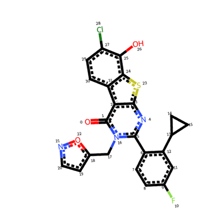 O=c1c2c(nc(-c3ccc(F)cc3C3CC3)n1Cc1ccno1)sc1c(O)c(Cl)ccc12